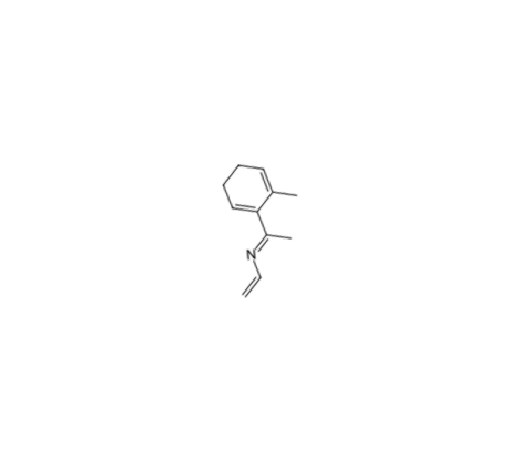 C=C/N=C(\C)C1=CCCC=C1C